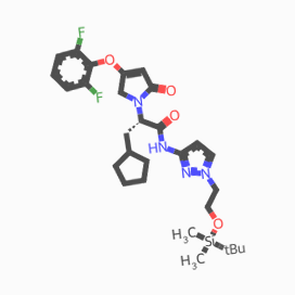 CC(C)(C)[Si](C)(C)OCCn1ccc(NC(=O)[C@H](CC2CCCC2)N2CC(Oc3c(F)cccc3F)=CC2=O)n1